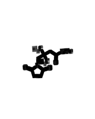 CNC(=O)CC(C)(C)CN1C(=O)C=CC1=O